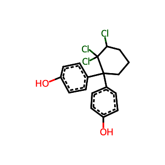 Oc1ccc(C2(c3ccc(O)cc3)CCCC(Cl)C2(Cl)Cl)cc1